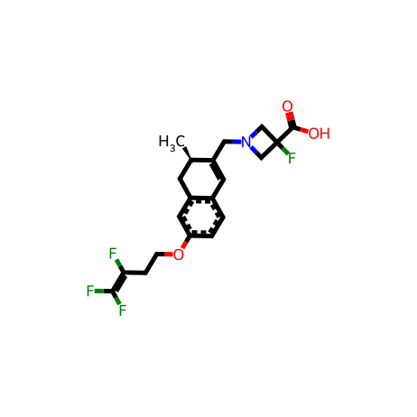 C[C@@H]1Cc2cc(OCCC(F)=C(F)F)ccc2C=C1CN1CC(F)(C(=O)O)C1